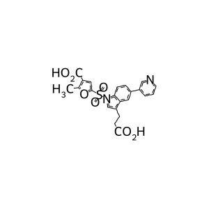 Cc1oc(S(=O)(=O)n2cc(CCC(=O)O)c3cc(-c4cccnc4)ccc32)cc1C(=O)O